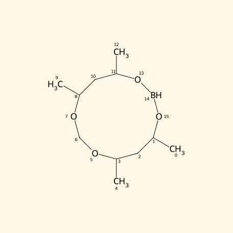 CC1CC(C)OCOC(C)CC(C)OBO1